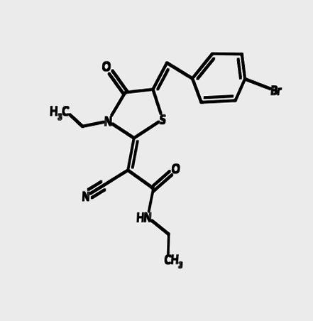 CCNC(=O)/C(C#N)=c1\s/c(=C\c2ccc(Br)cc2)c(=O)n1CC